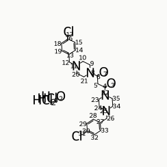 Cl.Cl.O.O=C(CC(=O)N1CCN(Cc2ccc(Cl)cc2)CC1)N1CCN(Cc2ccc(Cl)cc2)CC1